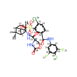 C[C@H]1C2C[C@@H](S(=O)(=O)c3cc(C(=O)Nc4cc(F)c(F)c(F)c4)ccc3Cl)CC1[C@@]2(O)CNC(=O)[C@H]1COC(=O)N1